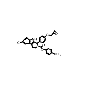 Nc1ccc(OC(=O)N2CCc3c([nH]c4ccc(Cl)cc34)C2c2ccc(OCC3CO3)cc2)cc1